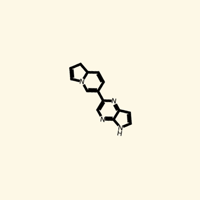 C1=CN2C=C(c3cnc4[nH]ccc4n3)C=CC2C1